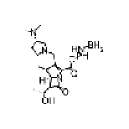 BNPOC(=O)C1=C(CN2CC[C@H](N(C)C)C2)[C@H](C)[C@@H]2C([C@@H](C)O)C(=O)N12